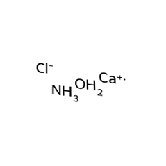 N.O.[Ca+].[Cl-]